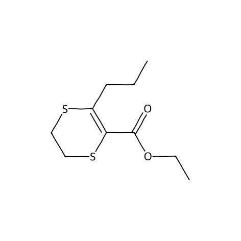 CCCC1=C(C(=O)OCC)SCCS1